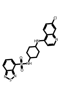 O=S(=O)(NC1CCC(Nc2ccnc3cc(Cl)ccc23)CC1)c1cccc2nsnc12